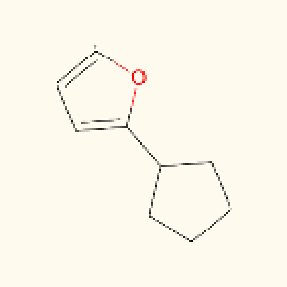 [c]1ccc(C2CCCC2)o1